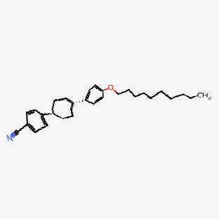 CCCCCCCCCCOc1ccc([C@H]2CC[C@H](c3ccc(C#N)cc3)CC2)cc1